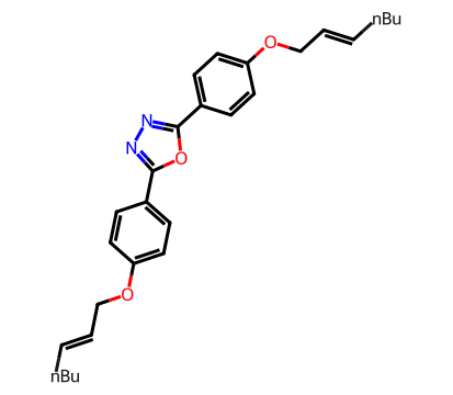 CCCC/C=C/COc1ccc(-c2nnc(-c3ccc(OC/C=C/CCCC)cc3)o2)cc1